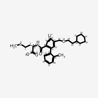 CSCC[C@H](NC(=O)c1ccc(COCCC2CCCCC2)cc1-c1ccccc1C)C(=O)[O-].[Li+]